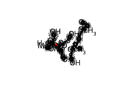 CN(Cc1ccccc1Cc1ccccc1)C(=O)CCCSc1ccc(O)cc1.CN(Cc1ccccc1N1CCN(CCN2CCOCC2)CC1)C(=O)CCCSc1ccc(O)cc1.CN(Cc1ccccc1N1CCOCC1)C(=O)CCCSc1ccc(F)cc1.COC(=O)C(CCSc1ccc(O)cc1)C(=O)N(C)Cc1ccccc1OC